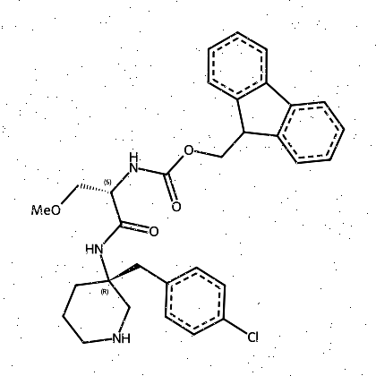 COC[C@H](NC(=O)OCC1c2ccccc2-c2ccccc21)C(=O)N[C@@]1(Cc2ccc(Cl)cc2)CCCNC1